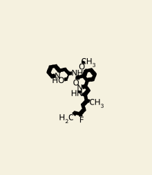 C=C/C(F)=C\C=C(/C)c1cc(-c2cccc(OC)c2C(=O)N[C@@H](CO)Cc2ccccn2)n[nH]1